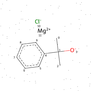 CC(C)([O-])c1ccccc1.[Cl-].[Mg+2]